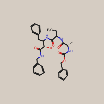 C[C@H](NC(=O)OCc1ccccc1)C(=O)NC(CC(F)(F)F)C(=O)NC(Cc1ccccc1)[C@H](O)C(=O)NCc1ccccc1